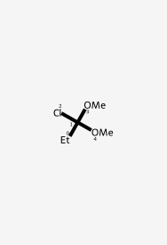 [CH2]CC(Cl)(OC)OC